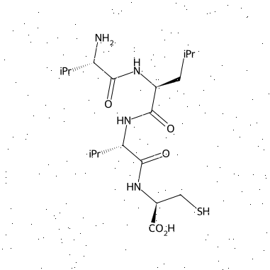 CC(C)C[C@H](NC(=O)[C@@H](N)C(C)C)C(=O)N[C@H](C(=O)N[C@@H](CS)C(=O)O)C(C)C